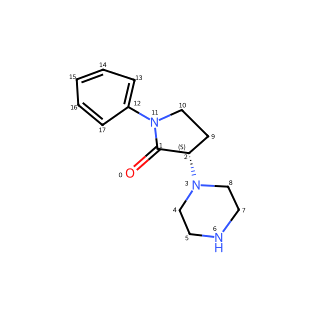 O=C1[C@@H](N2CCNCC2)CCN1c1ccccc1